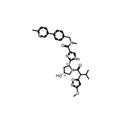 COc1cc(C(C(=O)N2C[C@H](O)C[C@H]2c2nc(C(=O)N(C)Cc3ccc(-c4ccc(C)nc4)cc3)c[nH]2)C(C)C)on1